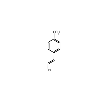 CC(C)/C=C/c1ccc(C(=O)O)cc1